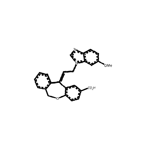 COc1ccc2ncn(CC=C3c4ccccc4COc4ccc(C(=O)O)cc43)c2c1